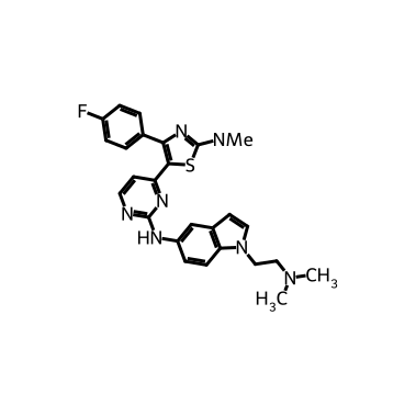 CNc1nc(-c2ccc(F)cc2)c(-c2ccnc(Nc3ccc4c(ccn4CCN(C)C)c3)n2)s1